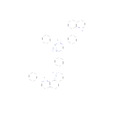 Cc1cc(-c2ccccc2)nc2c1ccc1ccc(-c3ccc(-c4cc(-c5cccc(-c6cccc7cccnc67)c5)nc(-c5ccccc5)n4)cc3)nc12